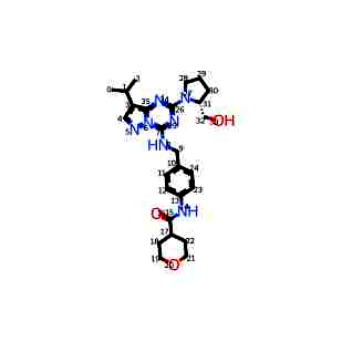 CC(C)c1cnn2c(NCc3ccc(NC(=O)C4CCOCC4)cc3)nc(N3CCC[C@@H]3CO)nc12